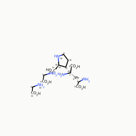 CC(C)[C@H](N)C(=O)O.NCC(=O)O.NCC(=O)O.NCC(=O)O.O=C(O)[C@@H]1CCCN1